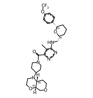 Cc1c(NC[C@H]2CCC[C@@H](c3ccc(OC(F)(F)F)cc3)O2)ncnc1C(=O)N1CCC(N2CCO[C@H]3COCC[C@H]32)CC1